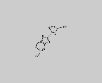 CC(C)c1ccc2nc(-c3ncc(C(C)C)s3)oc2c1